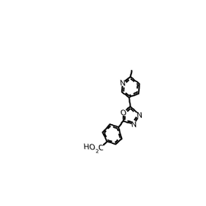 Cc1ccc(-c2nnc(-c3ccc(C(=O)O)cc3)o2)cn1